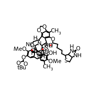 COc1cc2c(cc1OC(=O)OC(C)(C)C)CCN[C@]21CS[C@@H]2c3c(OC(O)CCCCC4SCC5NC(=O)NC54)c(C)c4c(c3[C@H](COC1=O)N1C2[C@@H]2c3c(cc(C)c(OC)c3O)C[C@@H]([C@@H]1C#N)N2C)OCO4